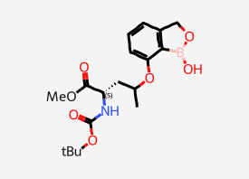 COC(=O)[C@H](CC(C)Oc1cccc2c1B(O)OC2)NC(=O)OC(C)(C)C